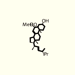 CO[C@@H]1C=C2C3CC[C@H]([C@H](C)/C=C/[C@H](C)C(C)C)[C@@]3(C)CCC2[C@@]2(C)CC[C@H](O)C[C@]12O